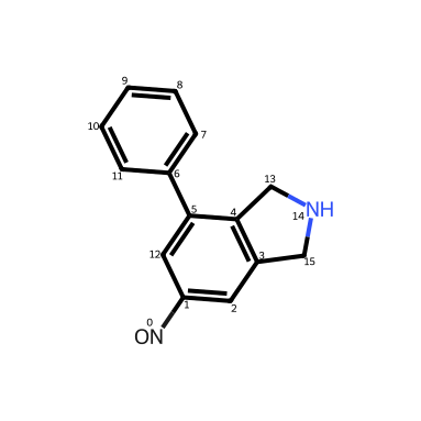 O=Nc1cc2c(c(-c3ccccc3)c1)CNC2